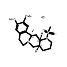 COc1cc2c(cc1OC)[C@H]1C[C@H]3[C@H](CCCN3S(C)(=O)=O)CN1CC2.Cl